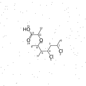 CC(Cl)CC(Cl)C(C)C(C)OC(C)C(=O)O